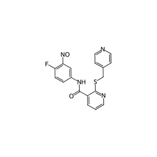 O=Nc1cc(NC(=O)c2cccnc2SCc2ccncc2)ccc1F